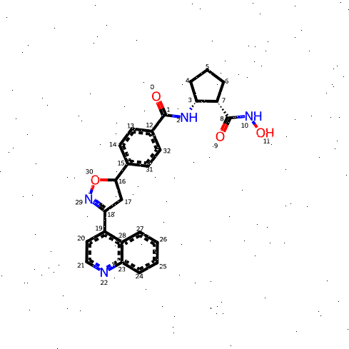 O=C(N[C@@H]1CCC[C@@H]1C(=O)NO)c1ccc(C2CC(c3ccnc4ccccc34)=NO2)cc1